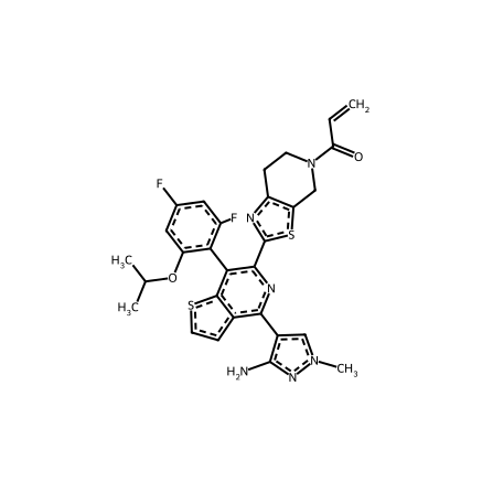 C=CC(=O)N1CCc2nc(-c3nc(-c4cn(C)nc4N)c4ccsc4c3-c3c(F)cc(F)cc3OC(C)C)sc2C1